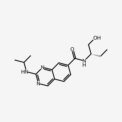 CC[C@@H](CO)NC(=O)c1ccc2cnc(NC(C)C)nc2c1